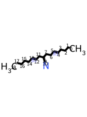 CCCC/C=C/CCC(C#N)C/C=C/CCCCC